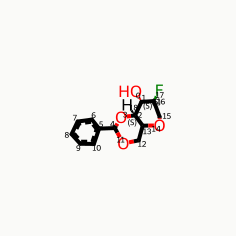 O[C@H]1[C@@H]2OC(c3ccccc3)OCC2OC[C@@H]1F